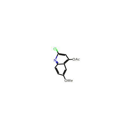 COc1ccc2nc(Cl)cc(OC(C)=O)c2c1